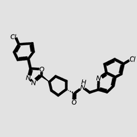 O=C(NCc1ccc2cc(Cl)ccc2n1)[C@H]1CC[C@H](c2nnc(-c3ccc(Cl)cc3)o2)CC1